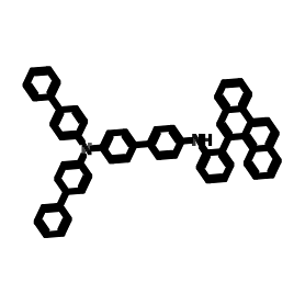 C1=CC(c2ccccc2)CC=C1N(c1ccc(-c2ccccc2)cc1)c1ccc(-c2ccc(Nc3ccccc3-c3cc4ccccc4c4ccc5ccccc5c34)cc2)cc1